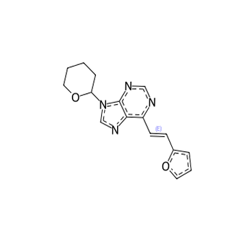 C(=C\c1ncnc2c1ncn2C1CCCCO1)/c1ccco1